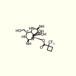 N=C1NC2[C@H](CO)NC(=N)N3C[C@H](OC(=O)C4(C(F)(F)F)CCC4)C(O)(O)[C@]23N1